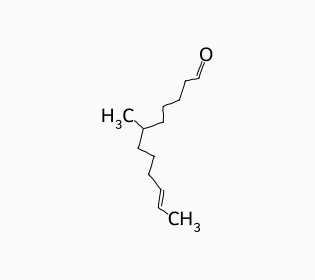 CC=CCCCC(C)CCCCC=O